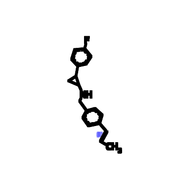 C/C=C/c1ccc(CNC2CC2c2ccc(F)cc2)cc1